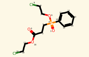 O=C(CCP(=O)(OCCCl)c1ccccc1)OCCCl